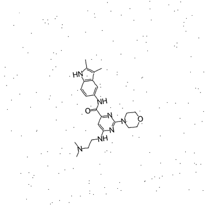 Cc1[nH]c2ccc(NC(=O)c3cc(NCCN(C)C)nc(N4CCOCC4)n3)cc2c1C